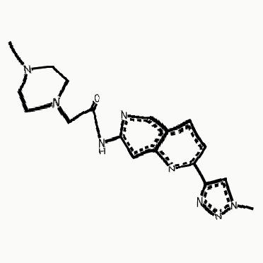 CN1CCN(CC(=O)Nc2cc3nc(-c4cn(C)nn4)ccc3cn2)CC1